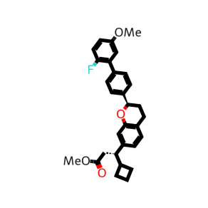 COC(=O)C[C@H](c1ccc2c(c1)O[C@@H](c1ccc(-c3cc(OC)ccc3F)cc1)CC2)C1CCC1